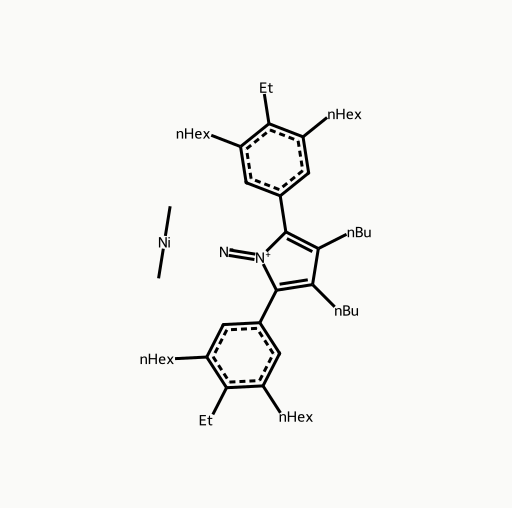 CCCCCCc1cc(C2=C(CCCC)C(CCCC)=C(c3cc(CCCCCC)c(CC)c(CCCCCC)c3)[N+]2=[N-])cc(CCCCCC)c1CC.[CH3][Ni][CH3]